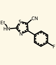 CCNc1nc(-c2ccc(F)cc2)c(C#N)s1